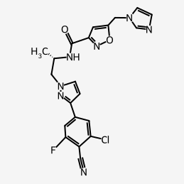 C[C@@H](Cn1ccc(-c2cc(F)c(C#N)c(Cl)c2)n1)NC(=O)c1cc(Cn2ccnc2)on1